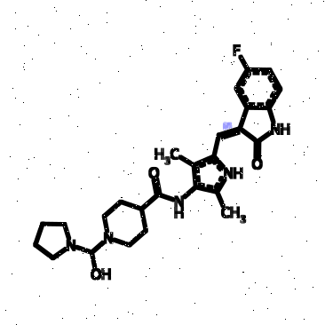 Cc1[nH]c(/C=C2\C(=O)Nc3ccc(F)cc32)c(C)c1NC(=O)C1CCN(C(O)N2CCCC2)CC1